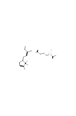 CC/C(=C\CC1CC=C(C)C1(C)C)COC(=O)CCCNC(C)=O